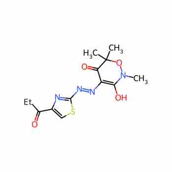 CCC(=O)c1csc(N=NC2=C(O)N(C)OC(C)(C)C2=O)n1